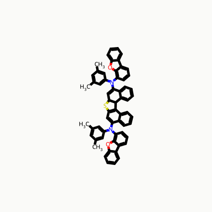 Cc1cc(C)cc(N(C2=CC3Sc4cc(N(c5cc(C)cc(C)c5)c5cccc6c5oc5ccccc56)c5ccccc5c4C3c3ccccc32)c2cccc3c2oc2ccccc23)c1